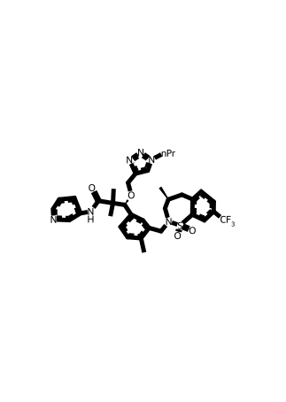 CCCn1cc(CO[C@H](c2ccc(C)c(CN3C[C@@H](C)Cc4ccc(C(F)(F)F)cc4S3(=O)=O)c2)C(C)(C)C(=O)Nc2cccnc2)nn1